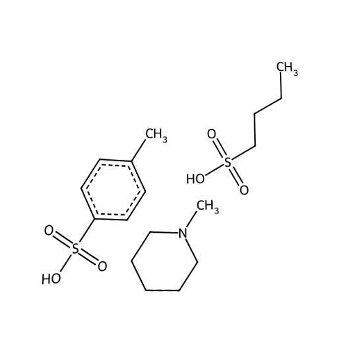 CCCCS(=O)(=O)O.CN1CCCCC1.Cc1ccc(S(=O)(=O)O)cc1